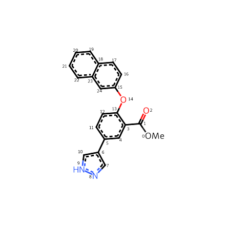 COC(=O)c1cc(-c2cn[nH]c2)ccc1Oc1ccc2ccccc2c1